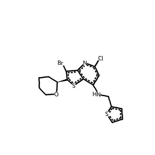 Clc1cc(NCc2cccs2)c2sc([C@@H]3CCCCO3)c(Br)c2n1